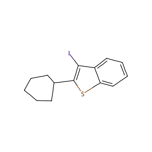 Ic1c(C2CCCCC2)sc2ccccc12